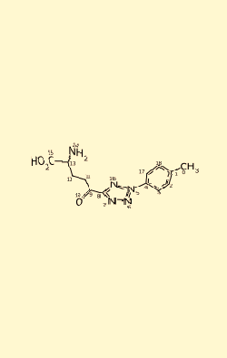 Cc1ccc(-n2nnc(C(=O)CCC(N)C(=O)O)n2)cc1